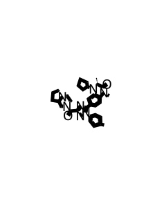 Cc1ccc(-n2nc(C(=O)N3CCN4CCCC4C3)nc2-c2ccc3c(c2)N(C2CCCC2)[C@H](C)C(=O)N3C)cc1